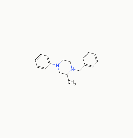 CC1CN(c2ccccc2)CCN1Cc1ccccc1